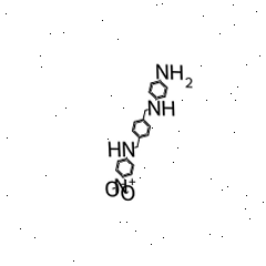 Nc1ccc(NCc2ccc(CNc3ccc([N+](=O)[O-])cc3)cc2)cc1